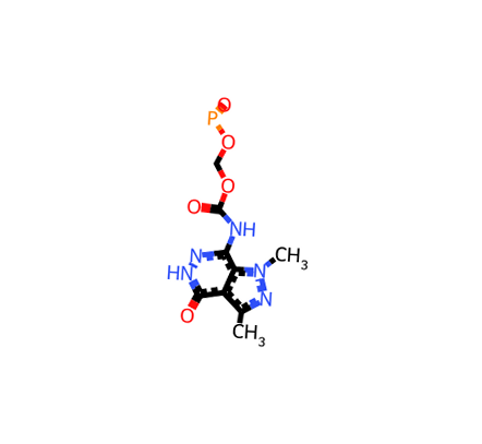 Cc1nn(C)c2c(NC(=O)OCOP=O)n[nH]c(=O)c12